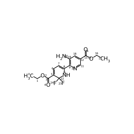 CCOC(=O)C1=CC=C(c2ncc(C(=O)OCC)cc2N)NC1(F)F